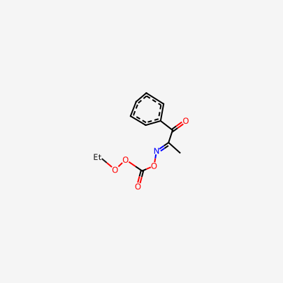 CCOOC(=O)ON=C(C)C(=O)c1ccccc1